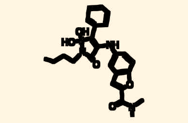 CCCCN1C(=O)C(Nc2ccc3oc(C(=O)N(C)C)cc3c2)=C(c2ccccc2)S1(O)O